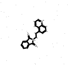 O=C1c2ccccc2C(=O)N1CCc1cccc2ncccc12